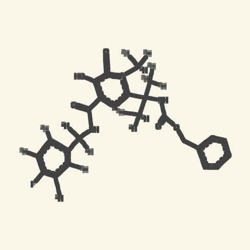 [2H]c1c([2H])c(C([2H])([2H])NC(=O)c2nc(C(NC(=O)OCc3ccccc3)(C([2H])([2H])[2H])C([2H])([2H])[2H])n(C([2H])([2H])[2H])c(=O)c2O)c([2H])c([2H])c1F